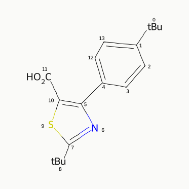 CC(C)(C)c1ccc(-c2nc(C(C)(C)C)sc2C(=O)O)cc1